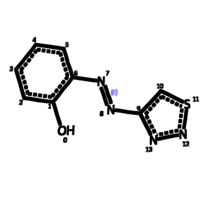 Oc1ccccc1/N=N/c1csnn1